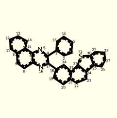 c1ccc(-c2nc3c(ccc4ccccc43)nc2-c2ccc3ccc4c5ccccc5sc4c3c2)cc1